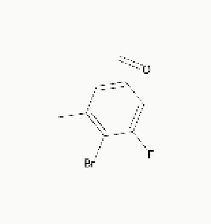 C=O.Cc1cccc(F)c1Br